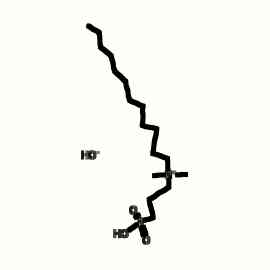 CCCCCCCCCCCC[N+](C)(C)CCCS(=O)(=O)O.[OH-]